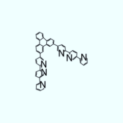 c1ccc(-c2ccc(-c3ccc(-c4ccc5c6ccccc6c6ccc(-c7ccc(-c8ccc(-c9ccccn9)cn8)nc7)cc6c5c4)cn3)nc2)nc1